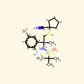 CC(C)(C)[S@@+]([O-])N[C@@](C)(CSC1(C#N)CCCC1)c1cc(Br)ccc1F